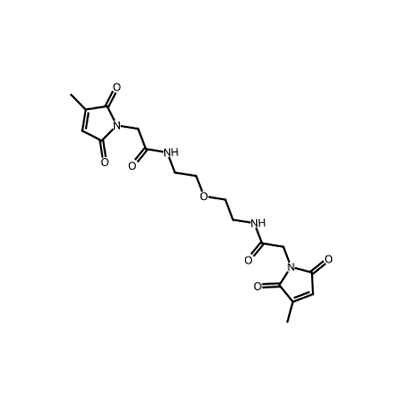 CC1=CC(=O)N(CC(=O)NCCOCCNC(=O)CN2C(=O)C=C(C)C2=O)C1=O